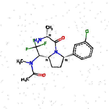 CC(=O)N(C)C([C@H]1CC[C@@H](c2cccc(Cl)c2)N1C(=O)[C@@H](C)N)C(F)(F)F